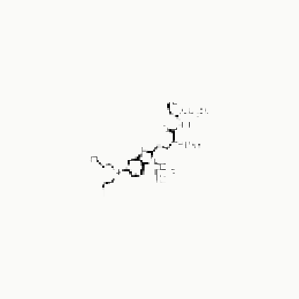 CCOC(=O)[C@H](CC(C)C)NC(=O)[C@H](CCc1nc2cc(N(CCCl)CCCl)ccc2n1C)NC.Cl.Cl